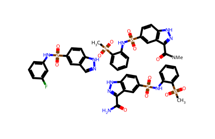 CNC(=O)c1n[nH]c2ccc(S(=O)(=O)Nc3ccccc3S(C)(=O)=O)cc12.CS(=O)(=O)c1ccccc1NS(=O)(=O)c1ccc2[nH]nc(C(N)=O)c2c1.O=S(=O)(Nc1cccc(F)c1)c1ccc2[nH]ncc2c1